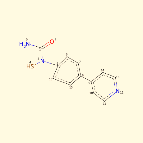 NC(=O)N(S)c1ccc(-c2ccncc2)cc1